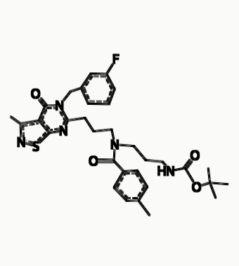 Cc1ccc(C(=O)N(CCCNC(=O)OC(C)(C)C)CCCc2nc3snc(C)c3c(=O)n2Cc2cccc(F)c2)cc1